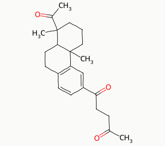 CC(=O)CCC(=O)c1ccc2c(c1)C1(C)CCCC(C)(C(C)=O)C1CC2